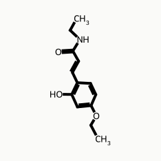 CCNC(=O)/C=C/c1ccc(OCC)cc1O